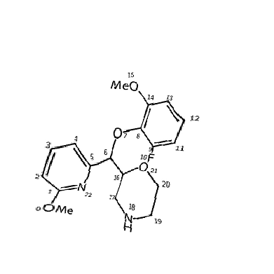 COc1cccc(C(Oc2c(F)cccc2OC)C2CNCCO2)n1